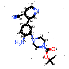 CC(C)(C)OC(=O)N1CCN(c2cc(-c3cnccc3C#N)ccc2N)CC1